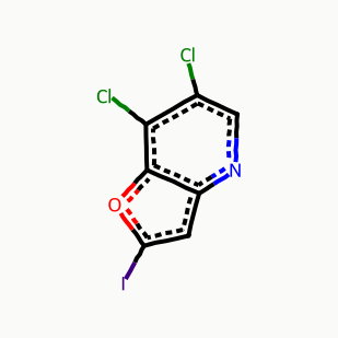 Clc1cnc2cc(I)oc2c1Cl